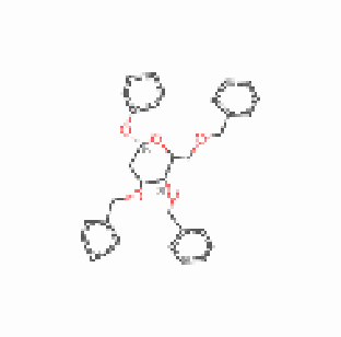 c1ccc(COCC2O[C@@H](Oc3ccccc3)CC(OCc3ccccc3)[C@@H]2OCc2ccccc2)cc1